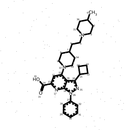 CC1CCN(CCC2CCN(c3cc(C(=O)O)nc4c3c(C3CCC3)nn4-c3ccccc3)CC2)CC1